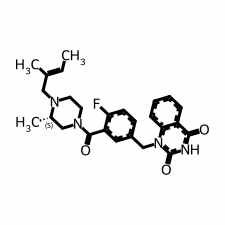 CC=C(C)CN1CCN(C(=O)c2cc(Cn3c(=O)[nH]c(=O)c4ccccc43)ccc2F)C[C@@H]1C